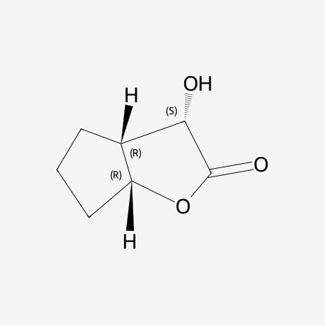 O=C1O[C@@H]2CCC[C@@H]2[C@@H]1O